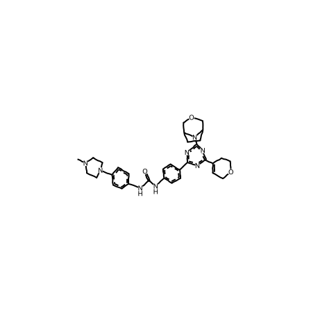 CN1CCN(c2ccc(NC(=O)Nc3ccc(-c4nc(C5=CCOCC5)nc(N5C6CCC5COC6)n4)cc3)cc2)CC1